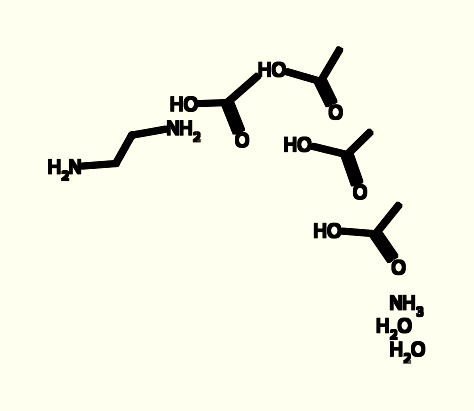 CC(=O)O.CC(=O)O.CC(=O)O.CC(=O)O.N.NCCN.O.O